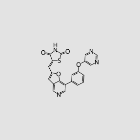 O=C1NC(=O)C(=Cc2cc3cncc(-c4cccc(Oc5cncnc5)c4)c3o2)S1